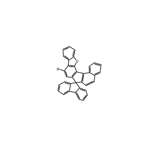 Brc1cc2c(c3oc4ccccc4c13)-c1c(ccc3ccccc13)C21c2ccccc2-c2ccccc21